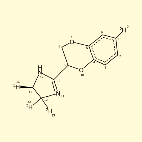 [2H]c1ccc2c(c1)OCC(C1=NC([2H])([2H])[C@@H]([2H])N1)O2